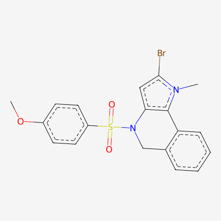 COc1ccc(S(=O)(=O)N2Cc3ccccc3-c3c2cc(Br)n3C)cc1